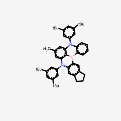 Cc1cc2c3c(c1)N(c1cc(C(C)(C)C)cc(C(C)(C)C)c1)c1cc4c(cc1B3c1ccccc1N2c1cc(C(C)(C)C)cc(C(C)(C)C)c1)CCC4